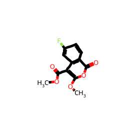 COC(=O)c1c(OC)oc(=O)c2ccc(F)cc12